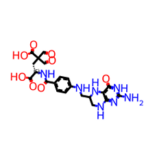 Nc1nc2c(c(=O)[nH]1)NC(CNc1ccc(C(=O)N[C@@H](CC(C=O)(C=O)C(=O)O)C(=O)O)cc1)CN2